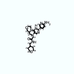 Nc1ccc([C@H]2N=CC3=C(N2)N2CCOCC2CN3CC(=O)NCC2CCOCC2)cn1